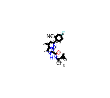 Cc1cc(-c2ccc(F)cc2C#N)nn2c(C(=O)NC(C3CC3)C(F)(F)F)ncc12